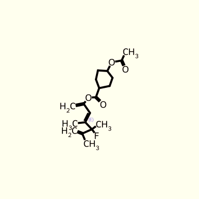 C=C(/C=C(\C)C(C)(F)C(=C)C)OC(=O)C1CCC(OC(C)=O)CC1